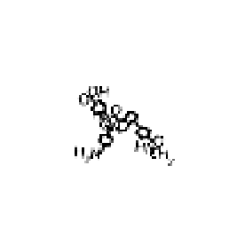 CNC(=O)c1ccc(-c2cccc3c2CCN(C(=O)c2ccc(CN)cc2)C3C(=O)Nc2ccc(C(=O)O)cc2)cc1